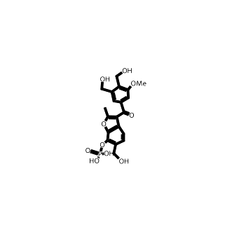 COc1cc(C(=O)c2c(C)oc3c(OP(=O)(O)O)c(CO)ccc23)cc(CO)c1CO